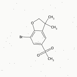 CC1(C)COc2c(Br)cc(S(C)(=O)=O)cc21